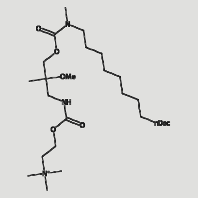 CCCCCCCCCCCCCCCCCCN(C)C(=O)OCC(C)(CNC(=O)OCC[N+](C)(C)C)OC